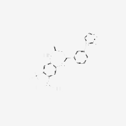 CN(C)c1cc2c(cc1C(F)(F)F)NC(=O)CC(c1cccc(-n3ccnn3)c1)=N2